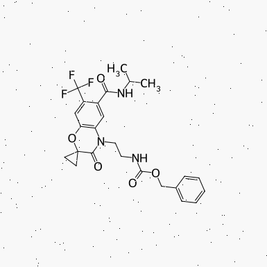 CC(C)NC(=O)c1cc2c(cc1C(F)(F)F)OC1(CC1)C(=O)N2CCNC(=O)OCc1ccccc1